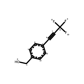 OCc1ccc(C#CC(F)(F)F)cc1